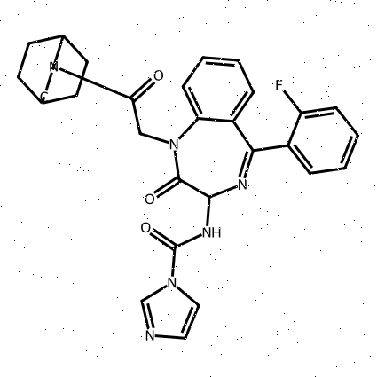 O=C(CN1C(=O)C(NC(=O)n2ccnc2)N=C(c2ccccc2F)c2ccccc21)N1CC2CCC(CC2)C1